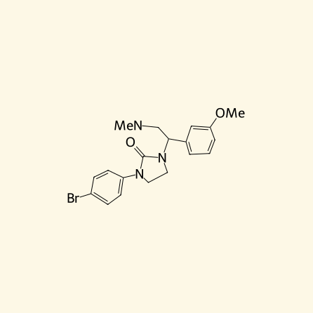 CNCC(c1cccc(OC)c1)N1CCN(c2ccc(Br)cc2)C1=O